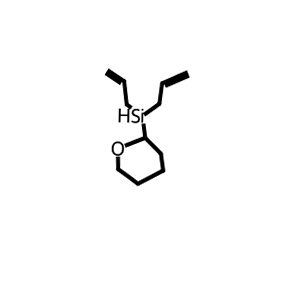 C=CC[SiH](CC=C)C1CCCCO1